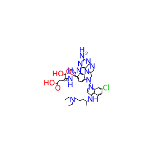 CCN(CC)CCCC(C)Nc1ccnc2cc(Cl)ccc12.CN(Cc1cnc2nc(N)nc(N)c2n1)c1ccc(C(=O)N[C@@H](CCC(=O)O)C(=O)O)cc1